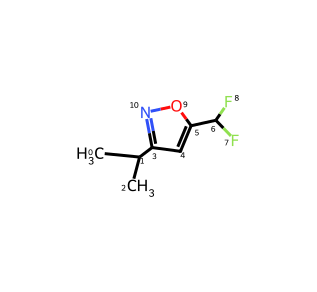 CC(C)c1cc(C(F)F)on1